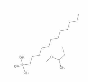 CCC(O)OC.CCCCCCCCCCCCP(=O)(O)O